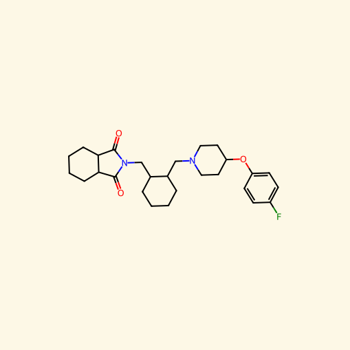 O=C1C2CCCCC2C(=O)N1CC1CCCCC1CN1CCC(Oc2ccc(F)cc2)CC1